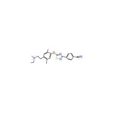 CCN(C)CCc1cc(C)c(Oc2nc(-c3ccc(C#N)cc3)ns2)cc1C